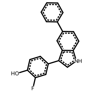 Oc1ccc(-c2c[nH]c3ccc(-c4ccccc4)cc23)cc1F